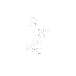 CN(C)C(=O)c1c(N)ccc(-c2cnc3c(c2Cl)[C@]2(CC[C@H](n4ccccc4=O)C2)CN3)c1F